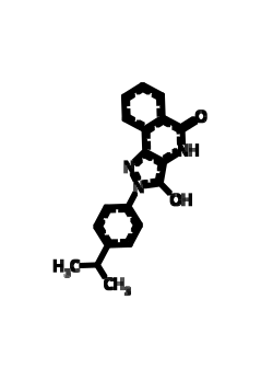 CC(C)c1ccc(-n2nc3c([nH]c(=O)c4ccccc43)c2O)cc1